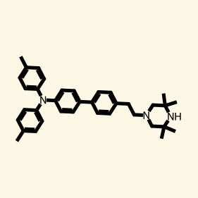 Cc1ccc(N(c2ccc(C)cc2)c2ccc(-c3ccc(CCN4CC(C)(C)NC(C)(C)C4)cc3)cc2)cc1